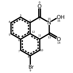 O=C1c2cccc3cc(Br)cc(c23)C(=O)N1O